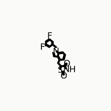 O=C1NC(=O)C(Cc2cccc3c2ccn3Cc2cc(F)cc(F)c2)S1